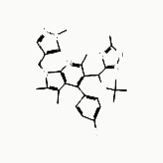 Cc1nc(C(OC(C)(C)C)c2c(C)nc3c(c(C)c(C)n3Cc3cnn(C)c3)c2-c2ccc(Cl)cc2)no1